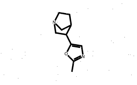 Cc1ncc(C2CN3CCC2C3)o1